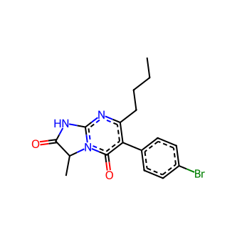 CCCCc1nc2n(c(=O)c1-c1ccc(Br)cc1)C(C)C(=O)N2